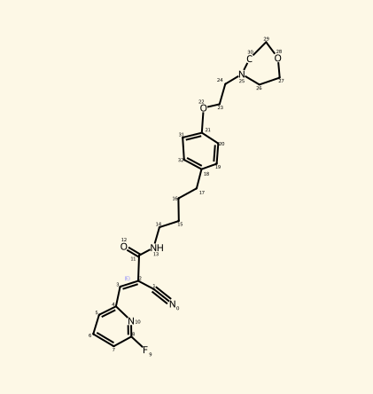 N#C/C(=C\c1cccc(F)n1)C(=O)NCCCCc1ccc(OCCN2CCOCC2)cc1